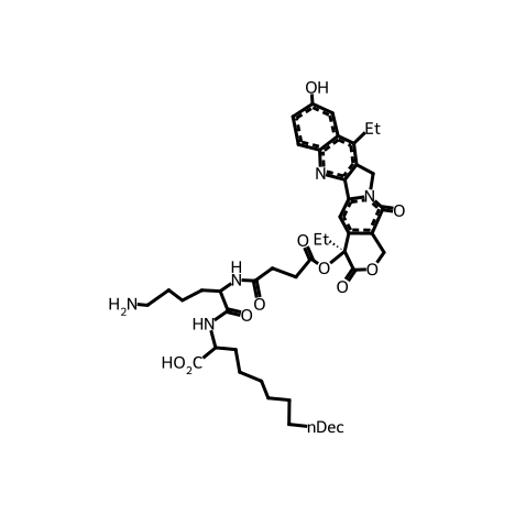 CCCCCCCCCCCCCCCCC(NC(=O)C(CCCCN)NC(=O)CCC(=O)O[C@]1(CC)C(=O)OCc2c1cc1n(c2=O)Cc2c-1nc1ccc(O)cc1c2CC)C(=O)O